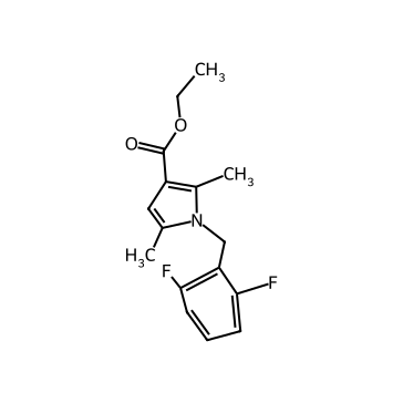 CCOC(=O)c1cc(C)n(Cc2c(F)cccc2F)c1C